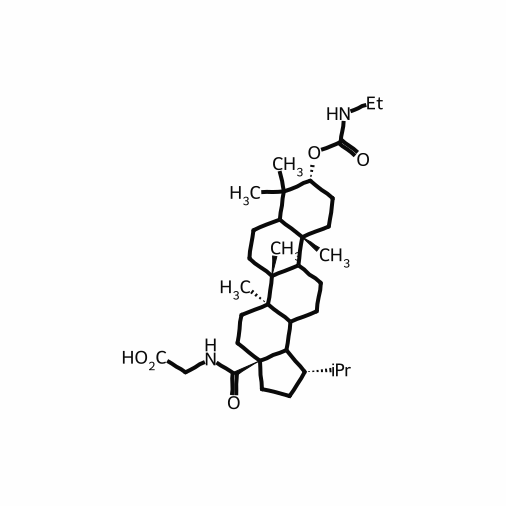 CCNC(=O)O[C@@H]1CC[C@@]2(C)C(CC[C@]3(C)C2CCC2C4[C@H](C(C)C)CC[C@]4(C(=O)NCC(=O)O)CC[C@]23C)C1(C)C